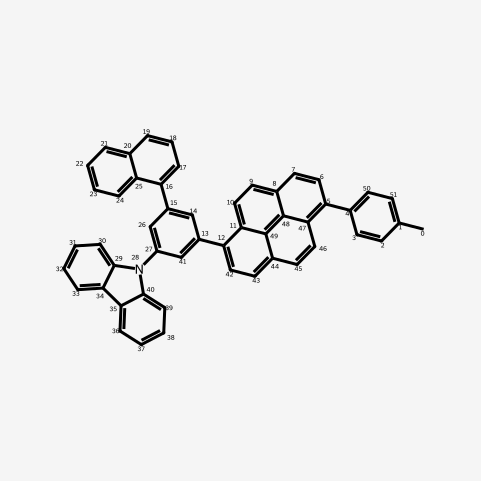 Cc1ccc(-c2ccc3ccc4c(-c5cc(-c6cccc7ccccc67)cc(-n6c7ccccc7c7ccccc76)c5)ccc5ccc2c3c54)cc1